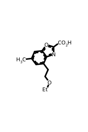 CCOCCc1cc(C)cc2oc(C(=O)O)nc12